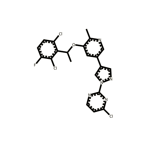 Cc1ncc(-c2cnn(-c3nccc(Cl)n3)c2)cc1OC(C)c1c(Cl)ccc(F)c1Cl